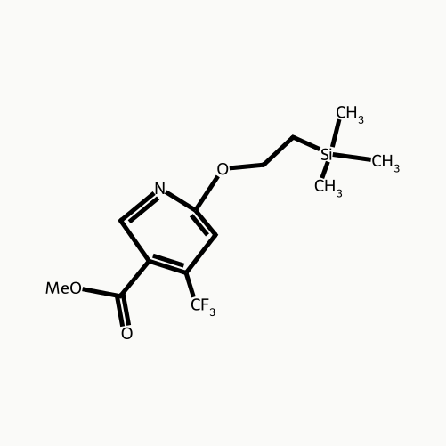 COC(=O)c1cnc(OCC[Si](C)(C)C)cc1C(F)(F)F